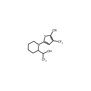 N#Cc1sc(N2CCCCC2C(O)C(F)(F)F)cc1C(F)(F)F